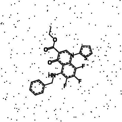 CCOC(=O)c1cn(-c2cccs2)c2c(F)c(F)c(F)c(NCc3ccccc3)c2c1=O